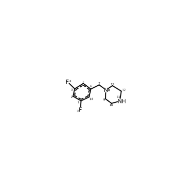 Fc1cc(F)cc(CN2CCNCC2)c1